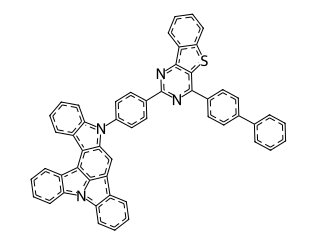 c1ccc(-c2ccc(-c3nc(-c4ccc(-n5c6ccccc6c6c7c8ccccc8n8c9ccccc9c(cc65)c78)cc4)nc4c3sc3ccccc34)cc2)cc1